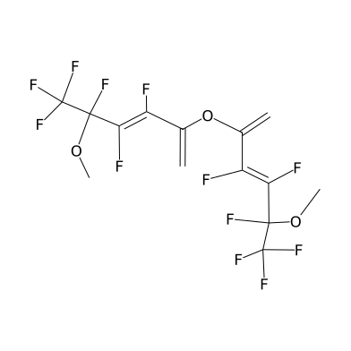 C=C(OC(=C)C(F)=C(F)C(F)(OC)C(F)(F)F)C(F)=C(F)C(F)(OC)C(F)(F)F